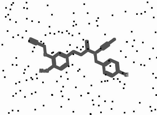 C#CCOc1cc(CCC(=O)N(C#CC)Cc2ccc(Cl)cc2)ccc1OC